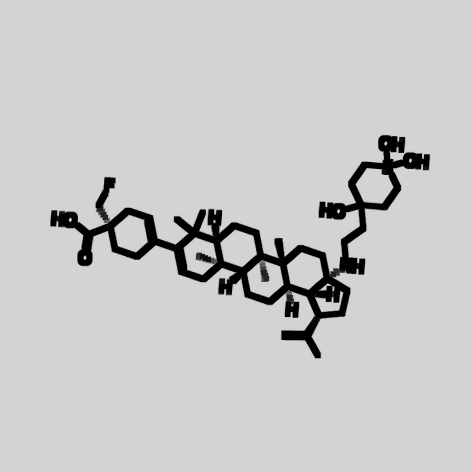 C=C(C)[C@@H]1CC[C@]2(NCCC3(O)CCS(O)(O)CC3)CC[C@]3(C)[C@H](CC[C@@H]4[C@@]5(C)CC=C(C6=CC[C@](CF)(C(=O)O)CC6)C(C)(C)[C@@H]5CC[C@]43C)[C@@H]12